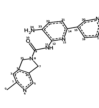 Cc1cc2c(cn1)CN(C(=O)Nc1nc(-c3cccnc3)ccc1N)C2